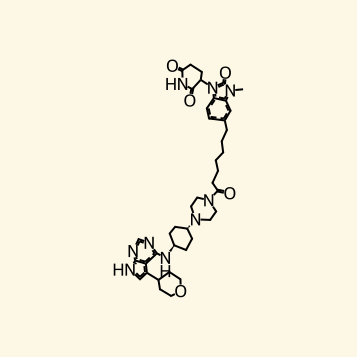 Cn1c(=O)n(C2CCC(=O)NC2=O)c2ccc(CCCCCCC(=O)N3CCN([C@H]4CC[C@H](Nc5ncnc6[nH]cc(C7CCOCC7)c56)CC4)CC3)cc21